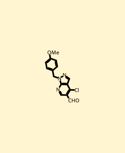 COc1ccc(Cn2ncc3c(Cl)c(C=O)cnc32)cc1